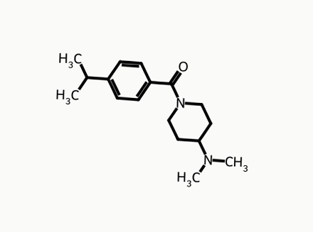 CC(C)c1ccc(C(=O)N2CCC(N(C)C)CC2)cc1